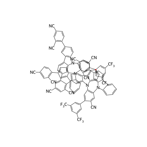 N#Cc1ccc(-c2ccc3c(c2)c2ccccc2n3-c2cc(-c3cc(C(F)(F)F)cc(C(F)(F)F)c3)c(C#N)cc2-n2c3ccc(-c4ccc(C#N)cc4C#N)cc3c3ccc(-c4cc(C#N)cc(C#N)c4-c4ccc5c6ccccc6n(-c6cc(-c7cc(C(F)(F)F)cc(C(F)(F)F)c7)c(C#N)cc6-n6c7ccccc7c7ccc(-c8ccc(C#N)cc8C#N)cc76)c5c4)cc32)c(C#N)c1